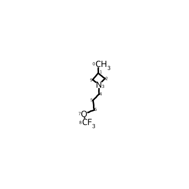 CC1CN(CCCOC(F)(F)F)C1